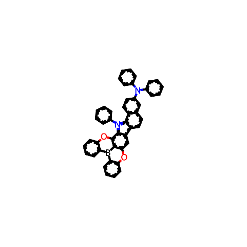 c1ccc(N(c2ccccc2)c2ccc3c(ccc4c5cc6c7c(c5n(-c5ccccc5)c34)Oc3ccccc3B7c3ccccc3O6)c2)cc1